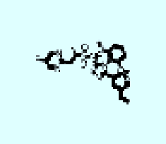 C=Cc1cncc(-c2nnc(NS(=O)(=O)[C@H](C)Cc3ncc(F)cn3)n2-c2c(OC)cccc2OC)c1